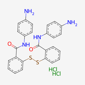 Cl.Cl.Nc1ccc(NC(=O)c2ccccc2SSc2ccccc2C(=O)Nc2ccc(N)cc2)cc1